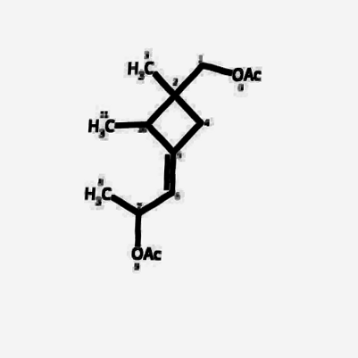 CC(=O)OCC1(C)CC(=CC(C)OC(C)=O)C1C